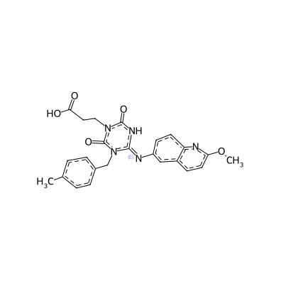 COc1ccc2cc(/N=c3\[nH]c(=O)n(CCC(=O)O)c(=O)n3Cc3ccc(C)cc3)ccc2n1